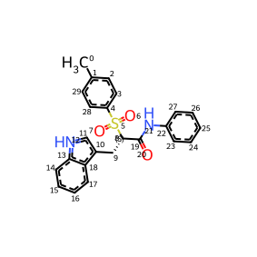 Cc1ccc(S(=O)(=O)[C@@H](Cc2c[nH]c3ccccc23)C(=O)Nc2ccccc2)cc1